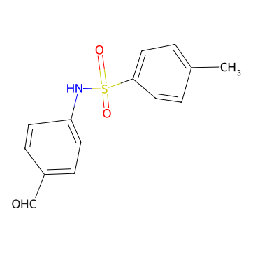 Cc1ccc(S(=O)(=O)Nc2ccc(C=O)cc2)cc1